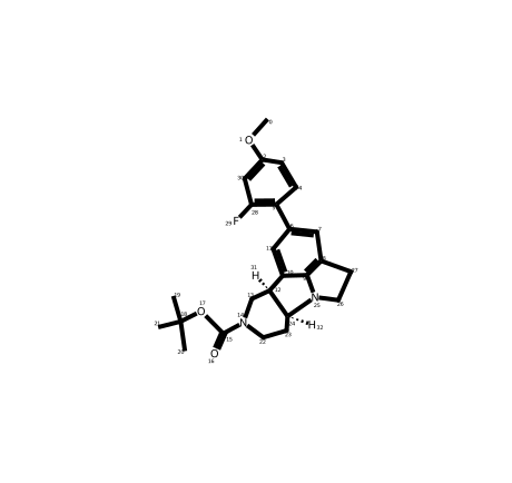 COc1ccc(-c2cc3c4c(c2)[C@@H]2CN(C(=O)OC(C)(C)C)CC[C@@H]2N4CC3)c(F)c1